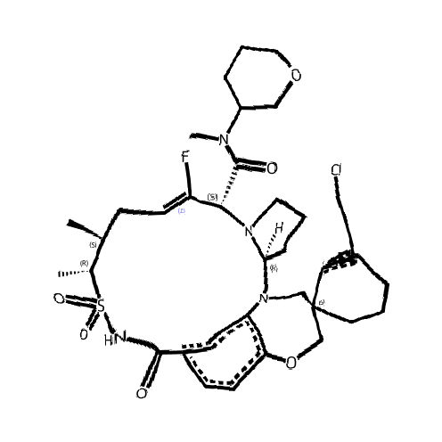 C[C@@H]1[C@@H](C)C/C=C(\F)[C@H](C(=O)N(C)C2CCCOC2)N2CCC[C@H]2N2C[C@@]3(CCCc4cc(Cl)ccc43)COc3ccc(cc32)C(=O)NS1(=O)=O